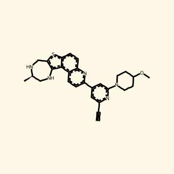 C#Cc1cc(-c2ccc3c(ccc4sc5c(c43)NC[C@@H](C)NC5)n2)cc(N2CCC(OC)CC2)n1